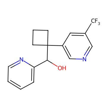 OC(c1ccccn1)C1(c2cncc(C(F)(F)F)c2)CCC1